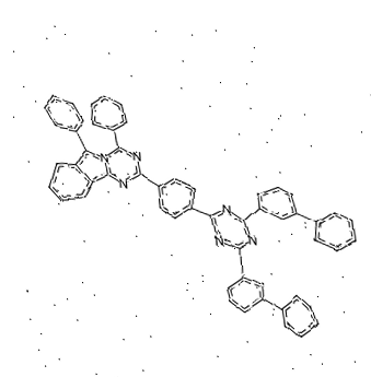 c1ccc(-c2cccc(-c3nc(-c4ccc(-c5nc(-c6ccccc6)n6c(-c7ccccc7)c7ccccc7c6n5)cc4)nc(-c4cccc(-c5ccccc5)c4)n3)c2)cc1